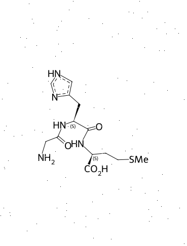 CSCC[C@H](NC(=O)[C@H](Cc1c[nH]cn1)NC(=O)CN)C(=O)O